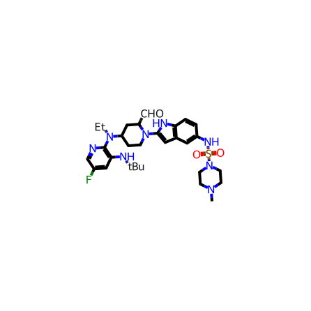 CCN(c1ncc(F)cc1NC(C)(C)C)C1CCN(c2cc3cc(NS(=O)(=O)N4CCN(C)CC4)ccc3[nH]2)C(C=O)C1